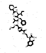 CCC(C)C(NC(=O)C1CCCCN1C)C(=O)N(Cc1ccccc1)[C@H](C[C@@H](OCOC)c1nc(C(=O)NCC[C@@H](C(=O)O)c2cc(F)ccc2C)cs1)C(C)C